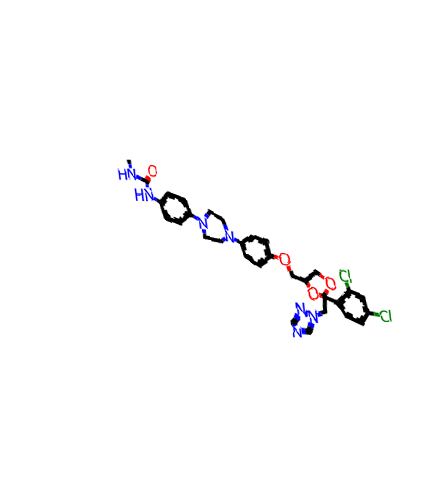 CNC(=O)Nc1ccc(N2CCN(c3ccc(OCC4COC(Cn5cncn5)(c5ccc(Cl)cc5Cl)O4)cc3)CC2)cc1